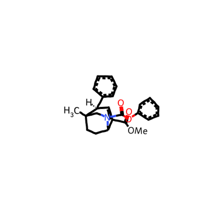 COC(=O)C1=C[C@H](c2ccccc2)C2(C)CCC1N(C(=O)Oc1ccccc1)C2